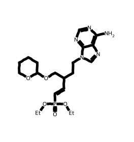 CCOP(=O)(C=CC(CCn1cnc2c(N)ncnc21)COC1CCCCO1)OCC